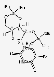 CC(C)(C)[Si](C)(C)O[C@H]1[C@@H]2O[Si](C(C)(C)C)(C(C)(C)C)OC[C@H]2O[C@H]1n1cc(Br)c(=O)[nH]c1=O